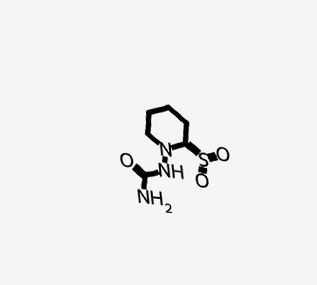 NC(=O)NN1CCCCC1=S(=O)=O